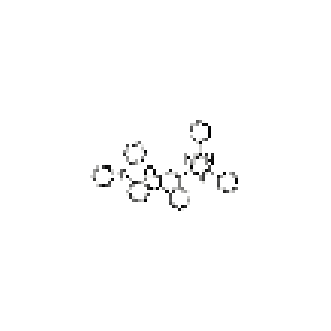 c1ccc(-c2nc(-c3ccccc3)nc(-c3cc4oc5c(N(c6ccccc6)c6ccccc6)cccc5c4c4ccccc34)n2)cc1